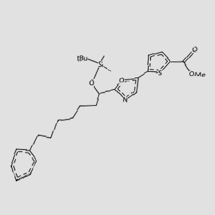 COC(=O)c1ccc(-c2cnc(C(CCCCCCc3ccccc3)O[Si](C)(C)C(C)(C)C)o2)s1